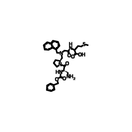 CSCCC(NC(=O)CN(Cc1cccc2ccccc12)C[C@@H]1CCCN1C(=O)[C@H](CN)NC(=O)OCc1ccccc1)C(=O)O